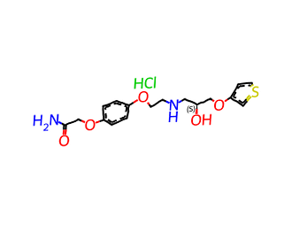 Cl.NC(=O)COc1ccc(OCCNC[C@H](O)COc2ccsc2)cc1